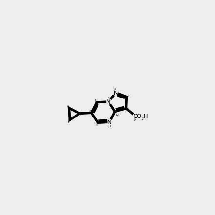 O=C(O)c1cnn2cc(C3CC3)cnc12